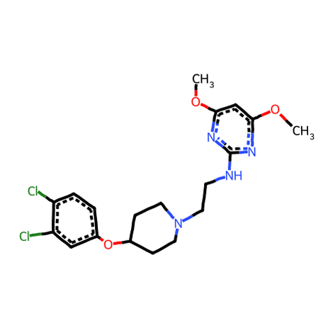 COc1cc(OC)nc(NCCN2CCC(Oc3ccc(Cl)c(Cl)c3)CC2)n1